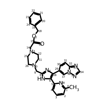 Cc1cccc(-c2[nH]c(CN3CCN(CC(=O)OCc4ccccc4)CC3)nc2-c2ccc3ncnn3c2)n1